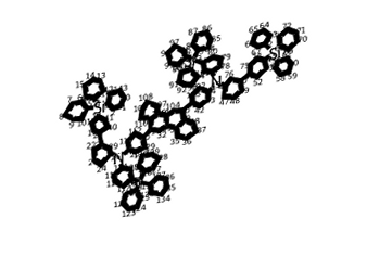 c1ccc([Si](c2ccccc2)(c2ccccc2)c2ccc(-c3cccc(N(c4ccc(-c5cc6c7ccccc7c(-c7ccc(N(c8cccc(-c9ccc([Si](c%10ccccc%10)(c%10ccccc%10)c%10ccccc%10)cc9)c8)c8cccc([Si](c9ccccc9)(c9ccccc9)c9ccccc9)c8)cc7)cc6c6ccccc56)cc4)c4cccc([Si](c5ccccc5)(c5ccccc5)c5ccccc5)c4)c3)cc2)cc1